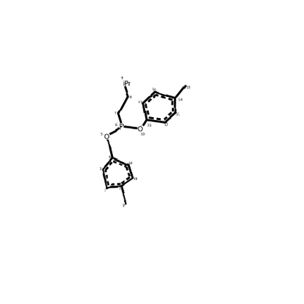 Cc1ccc(OP(CCC(C)C)Oc2ccc(C)cc2)cc1